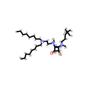 CCCCCCCCN(CCCCCCCC)CCN(C)c1c(N(C)CCCC(C)(C)C)c(=S)c1=O